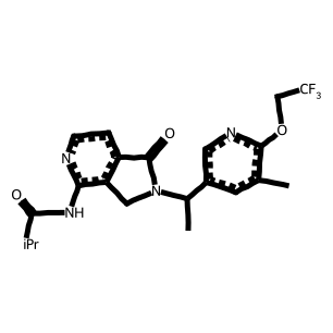 Cc1cc(C(C)N2Cc3c(ccnc3NC(=O)C(C)C)C2=O)cnc1OCC(F)(F)F